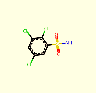 [NH]S(=O)(=O)c1cc(Cl)cc(Cl)c1Cl